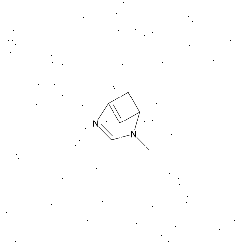 CN1C=NC2=CC1C2